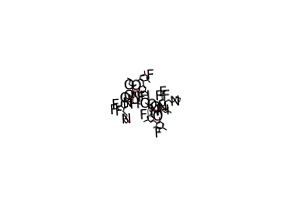 CCOC(=O)C[C@H](NC(=O)C(CC(C)C)n1cc(CCN2CCC2)c(C(F)(F)F)cc1=O)c1cc(-c2c(C)cc(C)c(F)c2C)cc(C)c1F.Cc1cc(-c2c(C)cc(C)c(F)c2C)cc([C@H](CC(=O)O)NC(=O)C(CC(C)C)n2cc(CCN3CCC3)c(C(F)(F)F)cc2=O)c1F